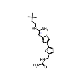 CC(C)(C)CCN/C(N)=N/c1nc(-c2ccc(CNC(N)=O)o2)cs1